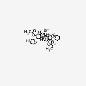 CCC(=O)O[C@H]1[C@@H]([N+]2(C)CCCCC2)C[C@H]2[C@@H]3CC[C@H]4C[C@H](OC(C)=O)[C@@H](C5CNCCO5)C[C@]4(C)[C@H]3CC[C@@]21C.[Br-]